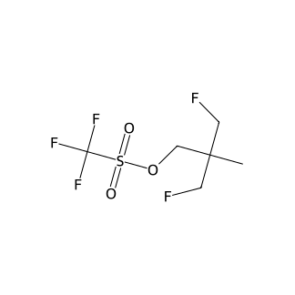 CC(CF)(CF)COS(=O)(=O)C(F)(F)F